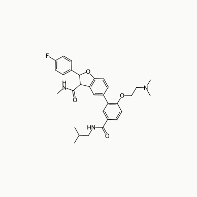 CNC(=O)C1c2cc(-c3cc(C(=O)NCC(C)C)ccc3OCCN(C)C)ccc2OC1c1ccc(F)cc1